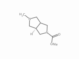 COC(=O)N1CC2CN(C)C[C@@H]2C1